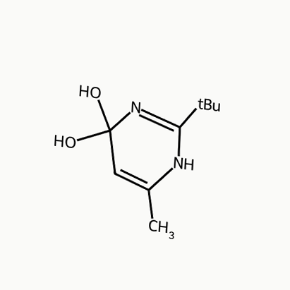 CC1=CC(O)(O)N=C(C(C)(C)C)N1